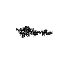 C[C@@H]1CCN(C(=O)CC#N)CC1/C=[N+](/C)c1ncnc2c1ccn2C(=O)Nc1ccnc(OCCNC(=O)OC(C)(C)C)c1